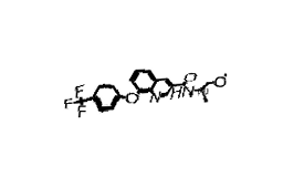 COC[C@@H](C)NC(=O)c1cnc2c(Oc3ccc(C(F)(F)F)cc3)cccc2c1